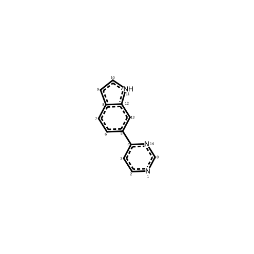 [c]1nccc(-c2ccc3cc[nH]c3c2)n1